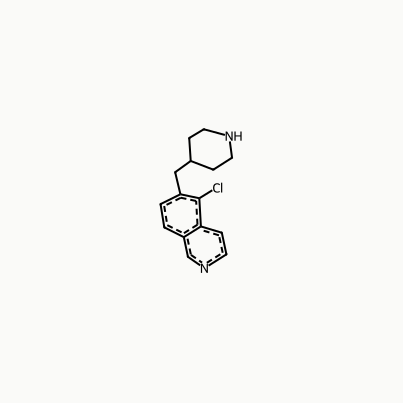 Clc1c(CC2CCNCC2)ccc2cnccc12